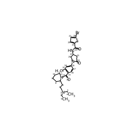 CCN(CC)CCC1CCCCN1C(=O)c1ccc(N2CC(NC(=O)c3ccc(Br)s3)CC2=O)cc1C